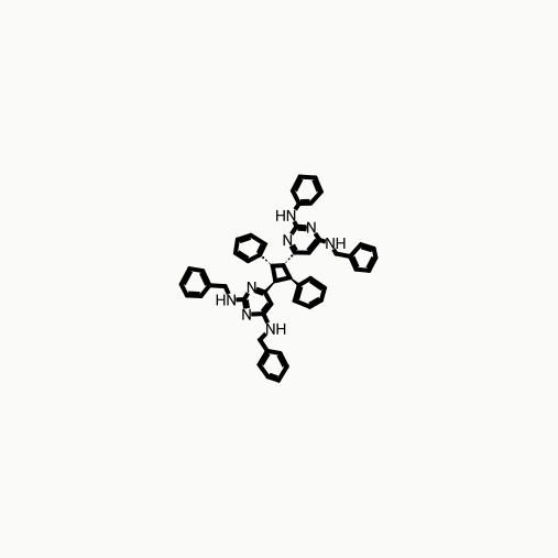 c1ccc(CNc2cc([C@H]3[C@H](c4ccccc4)[C@H](c4cc(NCc5ccccc5)nc(Nc5ccccc5)n4)[C@H]3c3ccccc3)nc(NCc3ccccc3)n2)cc1